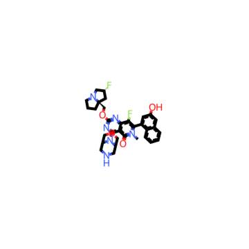 Cn1c(-c2cc(O)cc3ccccc23)c(F)c2nc(OC[C@@]34CCCN3C[C@H](F)C4)nc(N3C4CNCC3COC4)c2c1=O